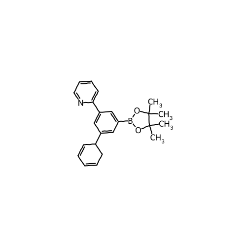 CC1(C)OB(c2cc(-c3ccccn3)cc(C3C=CC=CC3)c2)OC1(C)C